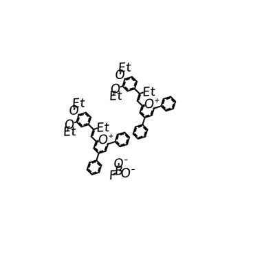 CCOc1ccc(/C(=C/c2cc(-c3ccccc3)cc(-c3ccccc3)[o+]2)CC)cc1OCC.CCOc1ccc(/C(=C/c2cc(-c3ccccc3)cc(-c3ccccc3)[o+]2)CC)cc1OCC.[O-]B([O-])F